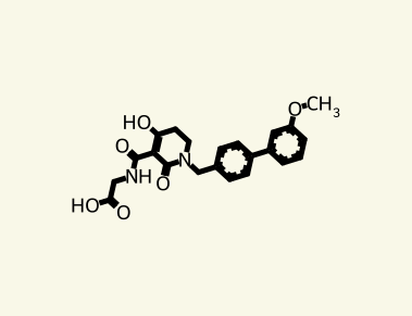 COc1cccc(-c2ccc(CN3CCC(O)=C(C(=O)NCC(=O)O)C3=O)cc2)c1